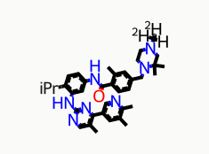 [2H]C([2H])([2H])N1CCN(Cc2ccc(C(=O)Nc3ccc(C(C)C)c(Nc4ncc(C)c(-c5cnc(C)c(C)c5)n4)c3)c(C)c2)C(C)(C)C1